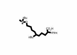 CCCCCCC(CCCC(CCCC)CCCCO[Si](C)(C)C(C)(C)C)C(=O)O